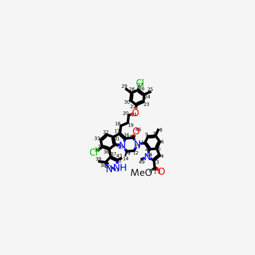 COC(=O)c1cc2cc(C)cc(N3C[C@@H](C)n4c(c(CCCOc5cc(C)c(Cl)c(C)c5)c5ccc(Cl)c(-c6c(C)n[nH]c6C)c54)C3=O)c2n1C